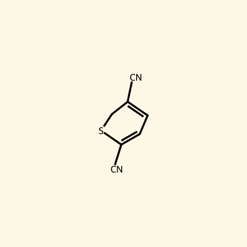 N#CC1=CC=C(C#N)SC1